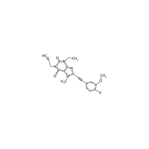 C#CCn1c(=O)c2c(nc(C#Cc3ccc(F)c(OC)c3)n2C)n(CC)c1=O